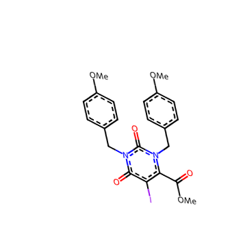 COC(=O)c1c(I)c(=O)n(Cc2ccc(OC)cc2)c(=O)n1Cc1ccc(OC)cc1